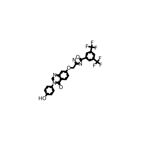 O=c1c2ccc(OCc3noc(-c4cc(C(F)(F)F)cc(C(F)(F)F)c4)n3)cc2ncn1-c1ccc(O)cc1